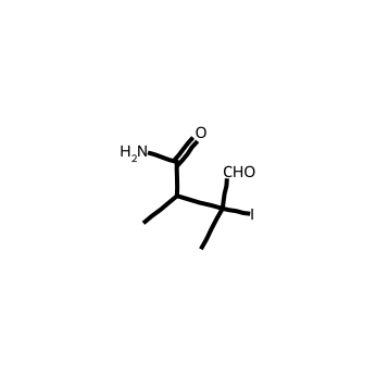 CC(C(N)=O)C(C)(I)C=O